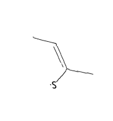 CC=C(C)[S]